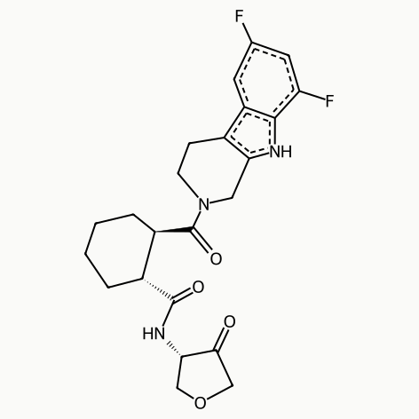 O=C1COC[C@@H]1NC(=O)[C@@H]1CCCC[C@H]1C(=O)N1CCc2c([nH]c3c(F)cc(F)cc23)C1